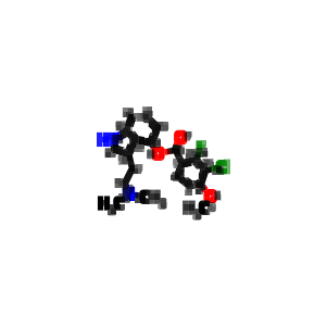 COc1ccc(C(=O)Oc2cccc3[nH]cc(CCN(C)C)c23)c(F)c1Cl